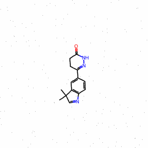 CC1(C)C=Nc2ccc(C3=NNC(=O)CC3)cc21